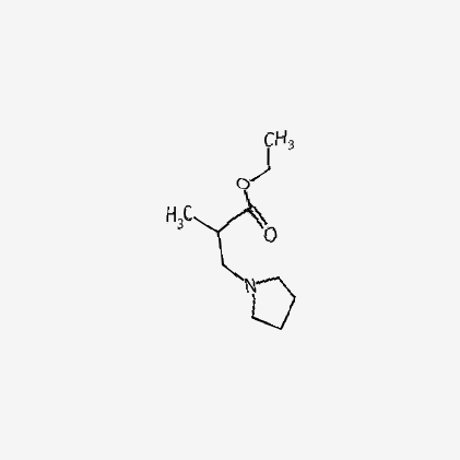 CCOC(=O)C(C)CN1CCCC1